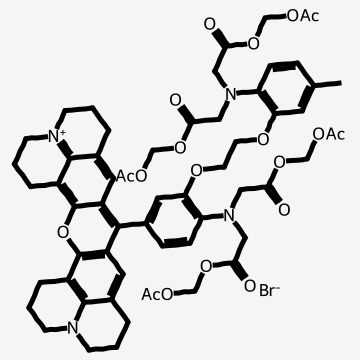 CC(=O)OCOC(=O)CN(CC(=O)OCOC(C)=O)c1ccc(C)cc1OCCOc1cc(C2=c3cc4c5c(c3Oc3c2cc2c6c3CCCN6CCC2)CCC[N+]=5CCC4)ccc1N(CC(=O)OCOC(C)=O)CC(=O)OCOC(C)=O.[Br-]